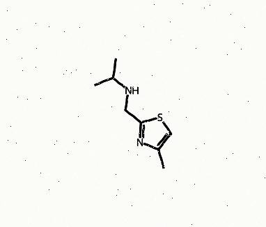 Cc1csc(CNC(C)C)n1